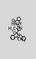 Cc1c(C(=O)N(Cc2ccccc2)[C@@H](C)c2ccccc2)cnn1-c1nc2c(c(=O)[nH]1)CCC2